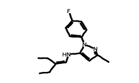 CCC(=CNc1cc(C)nn1-c1ccc(F)cc1)CC